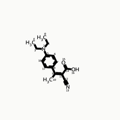 CCN(CC)c1ccc(C(C)=C(C#N)C(=O)O)cc1